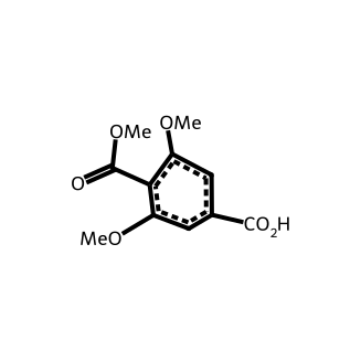 COC(=O)c1c(OC)cc(C(=O)O)cc1OC